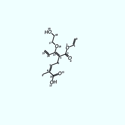 C=COC(=O)C(CC=C(C)C(=O)O)=C(C=C)OCCO